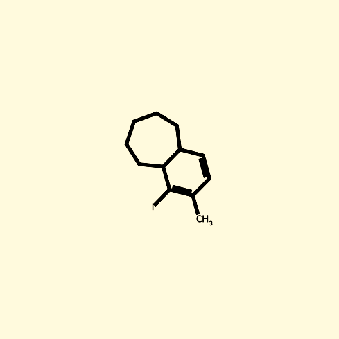 CC1=C(I)C2CCCCCC2C=C1